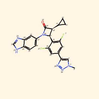 Cn1cc(-c2cc(F)c([C@@H]3[C@H](C4CC4)C(=O)N3c3ccc4[nH]cnc4c3)c(F)c2)nn1